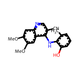 COc1cc2ncc(C#N)c(Nc3c(C)cccc3O)c2cc1OC